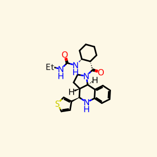 CCNC(=O)N[C@@H]1CCCC[C@@H]1C(=O)N1CC[C@H]2[C@H](c3ccsc3)Nc3ccccc3[C@@H]21